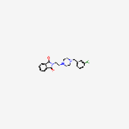 O=C1c2ccccc2C(=O)N1CCN1CCN(Cc2cccc(Cl)c2)CC1